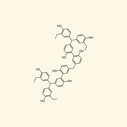 CCc1cc(C(c2ccc(O)c(CC)c2)c2ccc(O)c(-c3cc(Cc4ccc(O)c(-c5cc(C(c6ccc(O)c(CC)c6)c6ccc(O)c(CC)c6)ccc5O)c4)ccc3O)c2)ccc1O